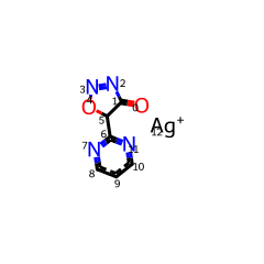 O=C1N=NOC1c1ncccn1.[Ag+]